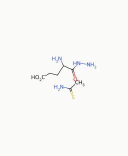 CC(N)=S.NNC(=O)C(N)CCC(=O)O